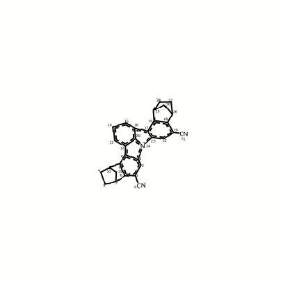 N#Cc1cc2c(c3c1C1CCC3C1)c1cccc3c4c5c(c(C#N)cc4n2c13)C1CCC5C1